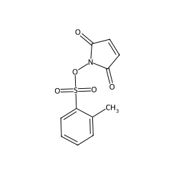 Cc1ccccc1S(=O)(=O)ON1C(=O)C=CC1=O